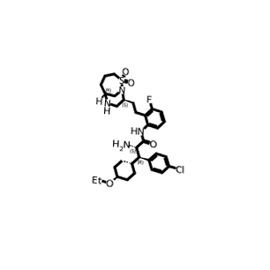 CCO[C@H]1CC[C@H]([C@H](c2ccc(Cl)cc2)[C@H](N)C(=O)Nc2cccc(F)c2CC[C@H]2CN[C@@H]3CCCS(=O)(=O)N2C3)CC1